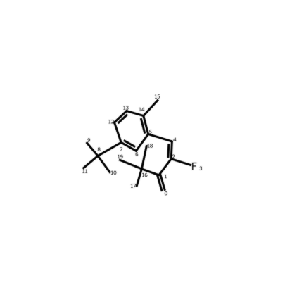 C=C(/C(F)=C\c1cc(C(C)(C)C)ccc1C)C(C)(C)C